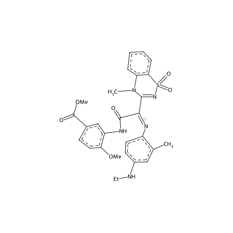 CCNc1ccc(/N=C(\C(=O)Nc2cc(C(=O)OC)ccc2OC)C2=NS(=O)(=O)c3ccccc3N2C)c(C)c1